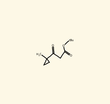 CC(C)(C)OC(=O)CC(=O)C1(C)CC1